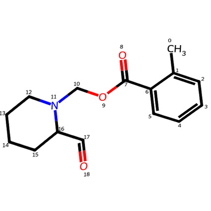 Cc1ccccc1C(=O)OCN1CCCCC1C=O